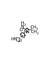 CC(C)c1cc(C(N)=O)n(-c2ccc([C@H]3CNCCO3)nc2)n1